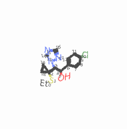 CCSC1(C(C(O)c2ccc(Cl)cc2)n2cncn2)CC1